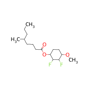 CCCC(C)CCCC(=O)OC1CCC(OC)C(F)C1F